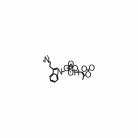 Cc1oc(=O)oc1COP(=O)(O)OCn1cc(CCN(C)C)c2ccccc21